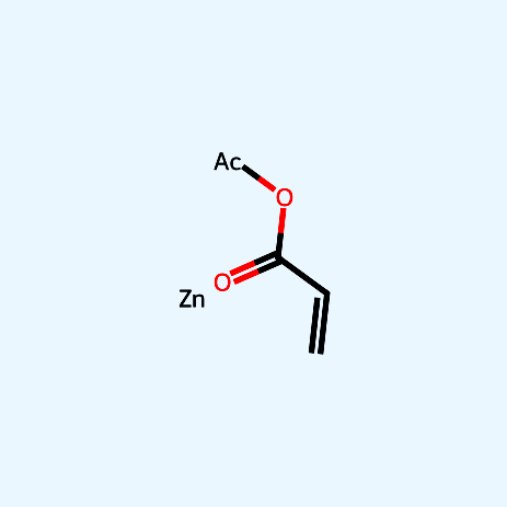 C=CC(=O)OC(C)=O.[Zn]